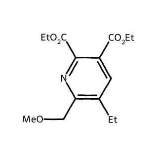 CCOC(=O)c1cc(CC)c(COC)nc1C(=O)OCC